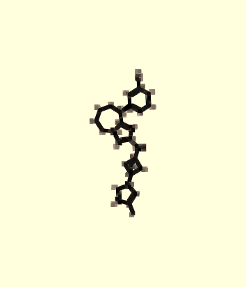 Cc1cn(C23CC(Nc4nc5n(n4)CCCC[C@H]5c4cccc(Cl)c4)(C2)C3)cn1